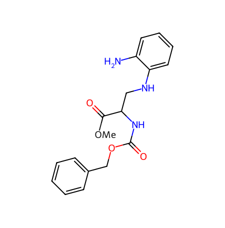 COC(=O)C(CNc1ccccc1N)NC(=O)OCc1ccccc1